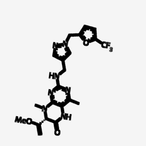 C=C(OC)[C@H]1C(=O)Nc2c(C)nc(NCc3cnn(Cc4ccc(C(F)(F)F)o4)c3)nc2N1C